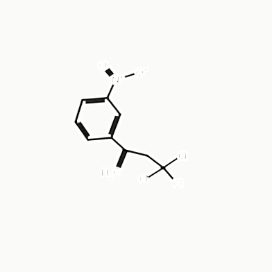 C=C(CC(Cl)(Cl)Cl)c1cccc([N+](=O)[O-])c1